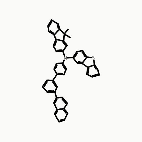 CC1(C)c2ccccc2-c2ccc(N(c3ccc(-c4cccc(-c5ccc6ccccc6c5)c4)cc3)c3ccc4sc5ccccc5c4c3)cc21